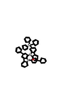 c1ccc(-c2ccc(-n3c4ccccc4c4cc(-c5ccccc5)cc(-n5c6ccccc6c6ccc([Si](c7ccccc7)(c7ccccc7)c7ccccc7)cc65)c43)cc2)cc1